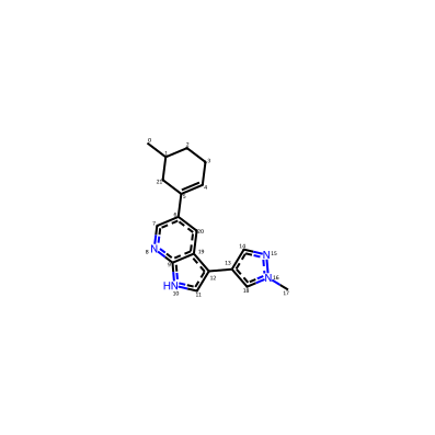 CC1CCC=C(c2cnc3[nH]cc(-c4cnn(C)c4)c3c2)C1